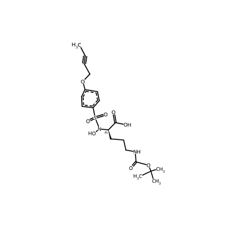 CC#CCOc1ccc(S(=O)(=O)N(O)[C@H](CCCNC(=O)OC(C)(C)C)C(=O)O)cc1